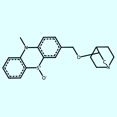 CN1c2ccccc2[S+]([O-])c2cc(COC3CN4CCC3CC4)ccc21